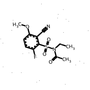 CCN(C(C)=O)S(=O)(=O)c1c(F)ccc(OC)c1C#N